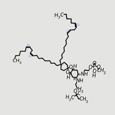 CCCCC/C=C\C/C=C\CCCCCCCCC1(CCCCCCCC/C=C\C/C=C\CCCCC)CCC2(CC1)O[C@H]1C[C@H](NCCOP(=O)(O)OC)[C@H](NCCOC(C)(C)CC)C[C@@H]1O2